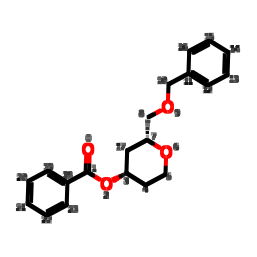 O=C(O[C@@H]1CCO[C@@H](COCc2ccccc2)C1)c1ccccc1